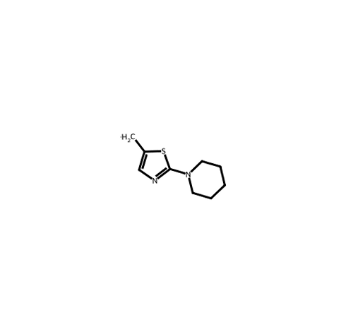 [CH2]c1cnc(N2CCCCC2)s1